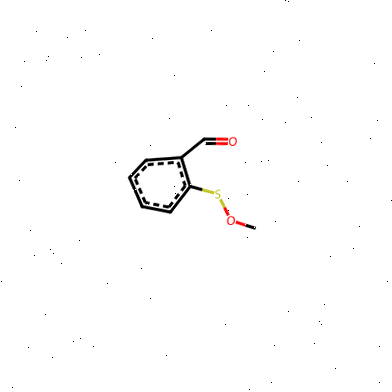 COSc1ccccc1C=O